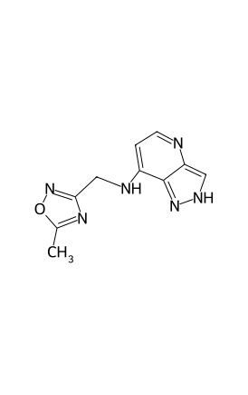 Cc1nc(CNc2ccnc3c[nH]nc23)no1